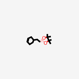 CC1(C)OB(CCC2CC=CCC2)OC1(C)C